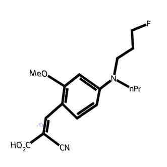 CCCN(CCCF)c1ccc(/C=C(\C#N)C(=O)O)c(OC)c1